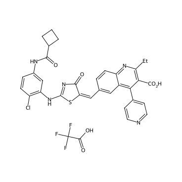 CCc1nc2ccc(C=C3SC(Nc4cc(NC(=O)C5CCC5)ccc4Cl)=NC3=O)cc2c(-c2ccncc2)c1C(=O)O.O=C(O)C(F)(F)F